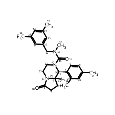 Cc1ccc([C@H]2[C@@H]3CCC(=O)N3CCN2C(=O)N(C)Cc2cc(C(F)(F)F)cc(C(F)(F)F)c2)c(C)c1